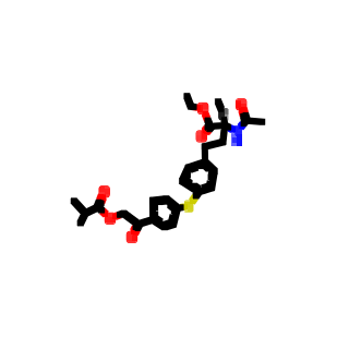 CCOC(=O)C(CC)(CCc1ccc(Sc2ccc(C(=O)COC(=O)C(C)C)cc2)cc1)NC(C)=O